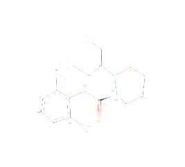 CCC(CC)N1CCCC[C@H]1C(=O)Nc1c(C)cccc1C